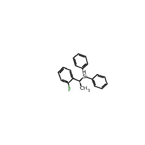 C[C@@H](c1ccccc1F)[SiH](c1ccccc1)c1ccccc1